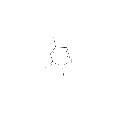 Cc1[c]nn(C)c(=O)c1